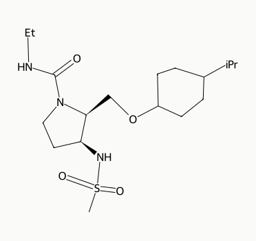 CCNC(=O)N1CC[C@H](NS(C)(=O)=O)[C@@H]1COC1CCC(C(C)C)CC1